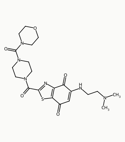 CN(C)CCNC1=CC(=O)c2sc(C(=O)N3CCN(C(=O)N4CCOCC4)CC3)nc2C1=O